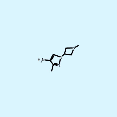 Cc1nn(C2CN(C)C2)cc1N